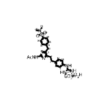 CC(=O)Nc1nc(CCc2ccc(NC(NC(=O)O)NC(=O)O)cc2)c(Cc2ccc(S(=O)(=O)N(C)C)cc2)s1